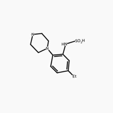 CCc1ccc(N2CC[N]CC2)c(NS(=O)(=O)O)c1